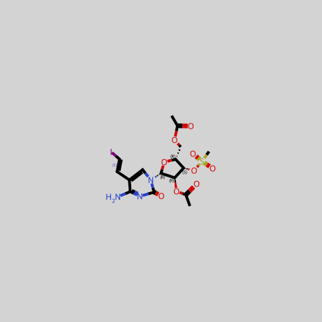 CC(=O)OC[C@H]1O[C@@H](n2cc(/C=C/I)c(N)nc2=O)[C@H](OC(C)=O)[C@H]1OS(C)(=O)=O